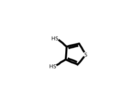 Sc1[c]scc1S